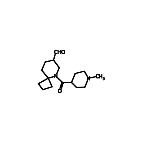 CN1CCC(C(=O)N2CC(C=O)CCC23CCC3)CC1